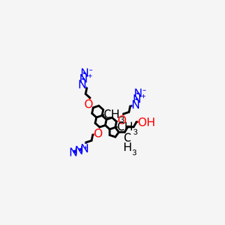 C[C@H](CCCO)C1CCC2C3C(C[C@H](OCCCN=[N+]=[N-])[C@@]21C)[C@@]1(C)CC[C@@H](OCCCN=[N+]=[N-])CC1C[C@H]3OCCCN=[N+]=[N-]